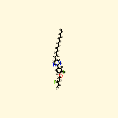 CCCCCCCCCCCCCc1cnc(-c2ccc(OCCC(F)CC)c(F)c2)nc1